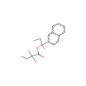 CCC(C)(C)C(=O)OC(C)(CC)c1ccc2ccccc2c1